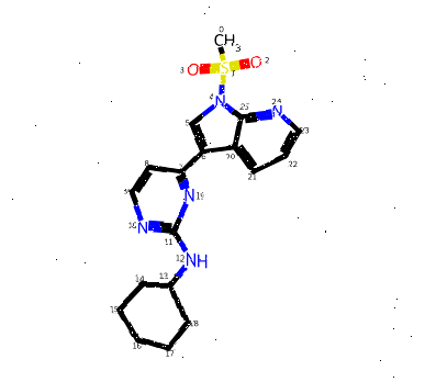 CS(=O)(=O)n1cc(-c2ccnc(NC3CCCCC3)n2)c2cccnc21